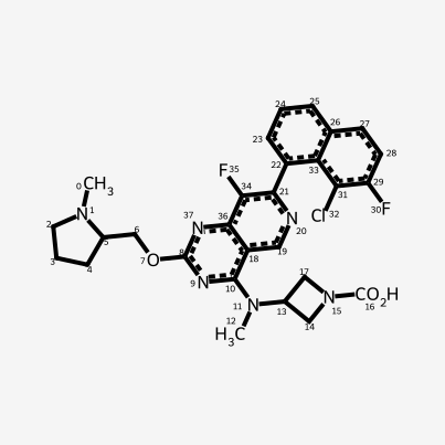 CN1CCCC1COc1nc(N(C)C2CN(C(=O)O)C2)c2cnc(-c3cccc4ccc(F)c(Cl)c34)c(F)c2n1